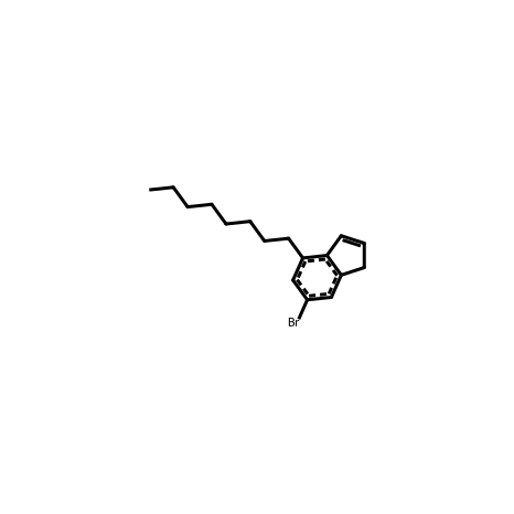 CCCCCCCCc1cc(Br)cc2c1C=CC2